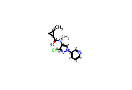 CC1CC1C(=O)N(C)c1cn(-c2cccnc2)nc1Cl